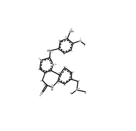 COc1ccc(Nc2ncc3c(n2)-c2ccc(CN(C)C)cc2NC(=O)C3)cc1O